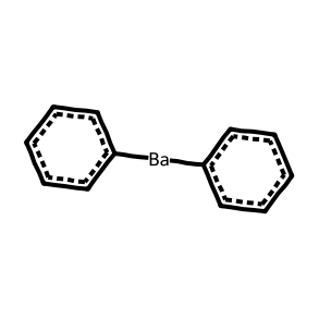 c1cc[c]([Ba][c]2ccccc2)cc1